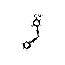 COc1ccc(C#CCC#Cc2ccccc2)cc1